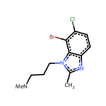 CNCCCn1c(C)nc2ccc(Cl)c(Br)c21